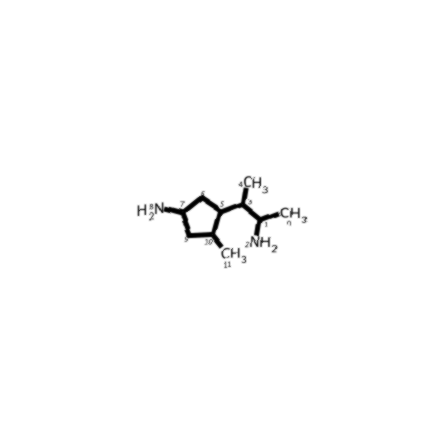 CC(N)C(C)C1CC(N)CC1C